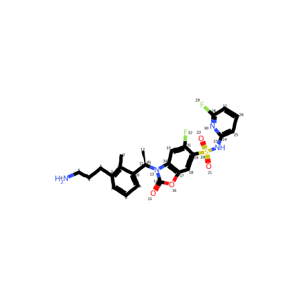 Cc1c(CCCN)cccc1[C@@H](C)n1c(=O)oc2cc(S(=O)(=O)Nc3cccc(F)n3)c(F)cc21